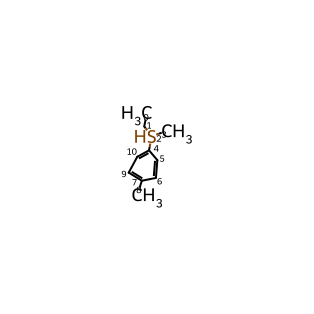 CC[SH](C)c1ccc(C)cc1